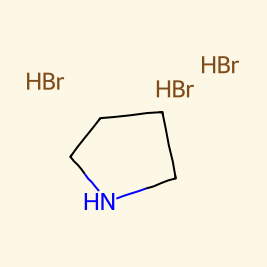 Br.Br.Br.C1CCNC1